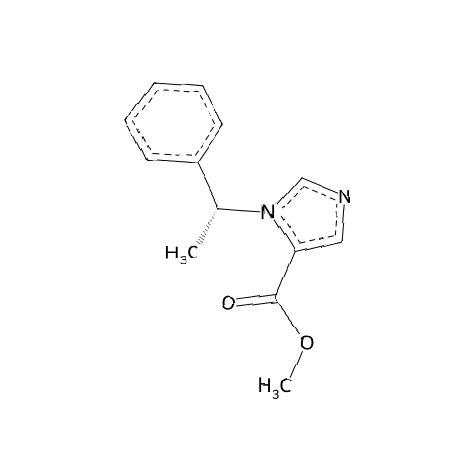 COC(=O)c1cncn1[C@H](C)c1ccccc1